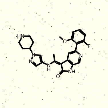 COc1cccc(F)c1-c1cc2c(cn1)NC(=O)/C2=C(/C)Nc1cnn(C2CCNCC2)c1